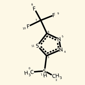 C[SH](C)c1nnc(C(F)(F)F)s1